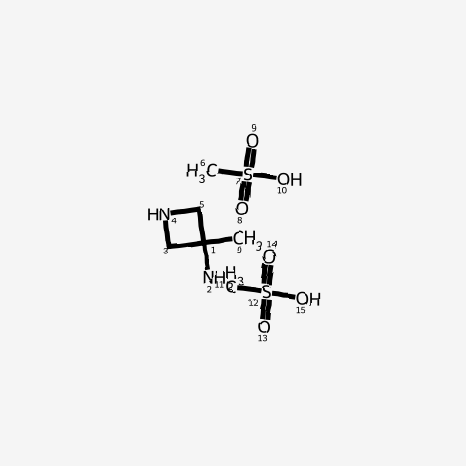 CC1(N)CNC1.CS(=O)(=O)O.CS(=O)(=O)O